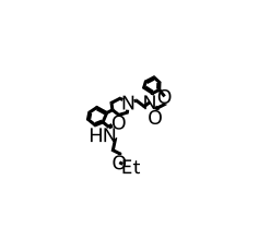 CCOCCCNC(=O)c1ccccc1C1CCN(CCN2C(=O)COc3ccccc32)CC1